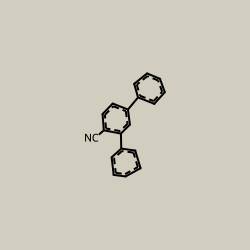 N#Cc1ccc(-c2ccccc2)cc1-c1ccccc1